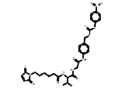 CC(C)C(NC(=O)CCCCCN1C(=O)C=CC1=O)C(=O)NCC(=O)Nc1ccc(COC(=O)Oc2ccc([N+](=O)[O-])cc2)cc1